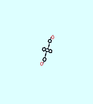 COCc1ccc(C#Cc2c3ccccc3c(C#Cc3ccc(COC)cc3)c3ccccc23)cc1